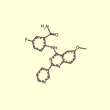 COc1ccc2nc(-c3cccnc3)nc(Nc3ccc(F)cc3C(N)=O)c2c1